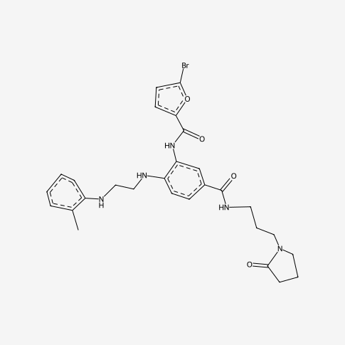 Cc1ccccc1NCCNc1ccc(C(=O)NCCCN2CCCC2=O)cc1NC(=O)c1ccc(Br)o1